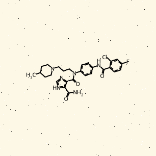 CC1CCN(CCCN(C(=O)c2nc[nH]c2C(N)=O)c2ccc(NC(=O)c3ccc(F)cc3Cl)cc2)CC1